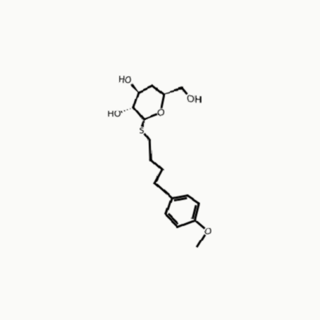 COc1ccc(CCCCS[C@@H]2O[C@H](CO)C[C@H](O)[C@H]2O)cc1